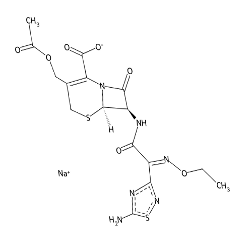 CCON=C(C(=O)N[C@@H]1C(=O)N2C(C(=O)[O-])=C(COC(C)=O)CS[C@H]12)c1nsc(N)n1.[Na+]